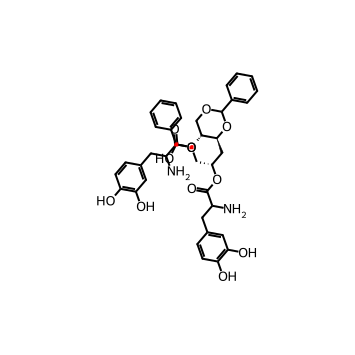 NC(Cc1ccc(O)c(O)c1)C(=O)O[C@H](COC(O)c1ccccc1)C[C@@H]1OC(c2ccccc2)OC[C@H]1OC(=O)C(N)Cc1ccc(O)c(O)c1